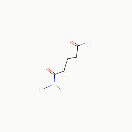 CCN(C(=O)CCCC(N)=O)C(C)C